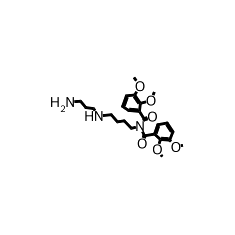 COc1cccc(C(=O)N(CCCCNCCCN)C(=O)c2cccc(OC)c2OC)c1OC